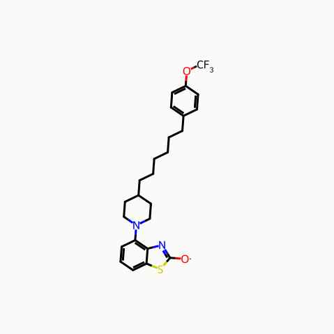 [O]c1nc2c(N3CCC(CCCCCCc4ccc(OC(F)(F)F)cc4)CC3)cccc2s1